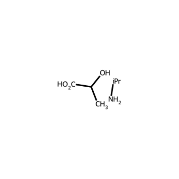 CC(C)N.CC(O)C(=O)O